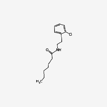 CCCCCCC(=O)NCCc1ccccc1Cl